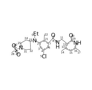 CCN(c1cc(Cl)cc(C(=O)NCc2c(C)cc(C)[nH]c2=O)c1C)C1CCN(S(C)(=O)=O)CC1